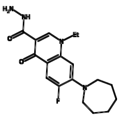 CCn1cc(C(=O)NN)c(=O)c2cc(F)c(N3CCCCCC3)cc21